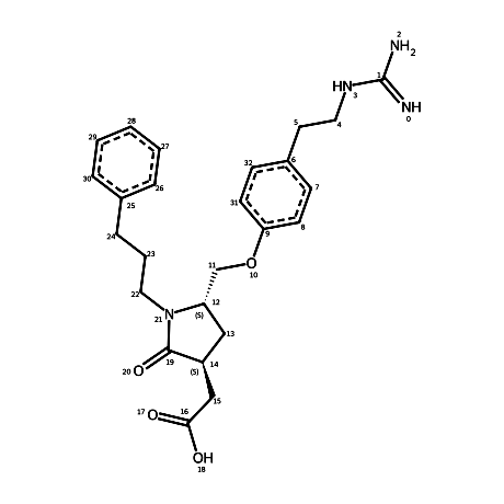 N=C(N)NCCc1ccc(OC[C@@H]2C[C@@H](CC(=O)O)C(=O)N2CCCc2ccccc2)cc1